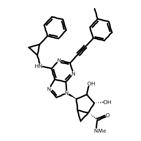 CNC(=O)[C@]12CC1[C@@H](n1cnc3c(NC4CC4c4ccccc4)nc(C#Cc4cccc(C)c4)nc31)C(O)[C@@H]2O